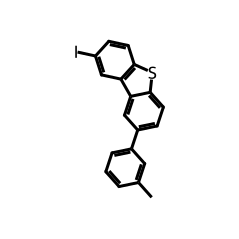 Cc1cccc(-c2ccc3sc4ccc(I)cc4c3c2)c1